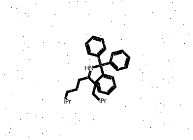 CC(C)CCCC(CCC(C)C)NC(c1ccccc1)(c1ccccc1)c1ccccc1